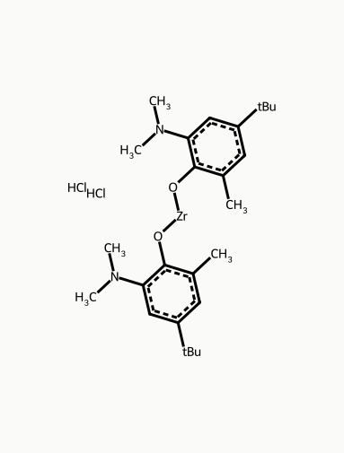 Cc1cc(C(C)(C)C)cc(N(C)C)c1[O][Zr][O]c1c(C)cc(C(C)(C)C)cc1N(C)C.Cl.Cl